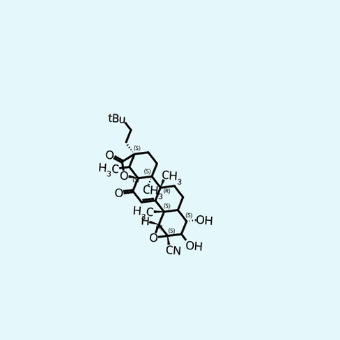 CC1[C@]2(CCC(C)(C)C)CC[C@@]3(C)[C@]4(C)CCC5[C@H](O)C(O)[C@]6(C#N)O[C@@H]6[C@]5(C)C4=CC(=O)[C@]13OC2=O